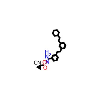 N#CC1(C(=O)O/N=C(\N)c2cccc(CCc3cccc(CCC4CCCCC4)c3)c2)CC1